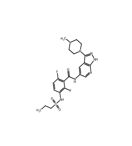 CCCS(=O)(=O)Nc1ccc(F)c(C(=O)Nc2cnc3[nH]nc(N4CCN(C)CC4)c3c2)c1F